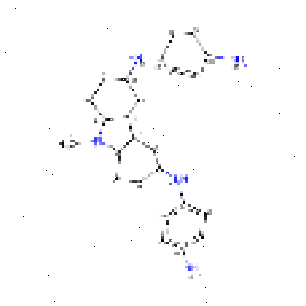 CN1C2CCC(Nc3ccc(N)cc3)CC2C2CC(NC3C=CC(N)CC3)CCC21